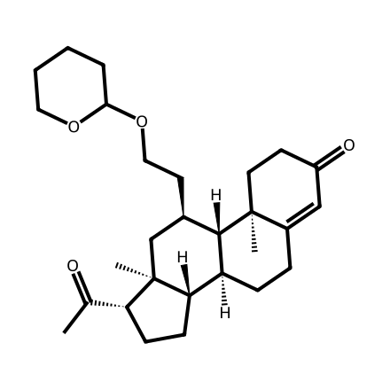 CC(=O)[C@H]1CC[C@H]2[C@@H]3CCC4=CC(=O)CC[C@]4(C)[C@H]3[C@H](CCOC3CCCCO3)C[C@]12C